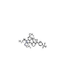 C=N/C(=N\C=C/C)c1cc(C)cnc1C(=O)N1CCC[C@@H](Nc2ccc(C(F)(F)F)cn2)[C@@H]1C